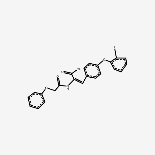 O=C(COc1ccccc1)NC(=Cc1ccc(Oc2ccccc2I)cc1)C(=O)O